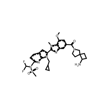 COc1cc(C(=O)N2CCC3(CCC3N)C2)cc2nc(-c3cc4ccc(N(C(F)F)S(C)(=O)=O)nc4n3CC3CC3)n(C)c12